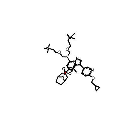 CC(C)(C)OC(=O)N1C2CCC1CC(c1cc(N(COCC[Si](C)(C)C)COCC[Si](C)(C)C)n3ncc(-c4ccc(OCC5CC5)nc4)c3n1)C2